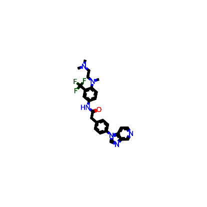 CN(C)CCN(C)c1ccc(NC(=O)Cc2ccc(-n3cnc4cnccc43)cc2)cc1C(F)(F)F